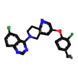 Cc1ccc(Oc2cnc3c(c2)CN(c2ncnc4ccc(Cl)cc24)CC3)c(F)c1